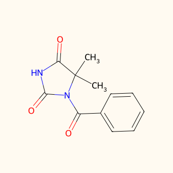 CC1(C)C(=O)NC(=O)N1C(=O)c1ccccc1